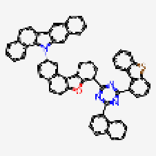 c1ccc2cc3c(cc2c1)c1ccc2ccccc2c1n3-c1ccc2ccc3oc4c(-c5nc(-c6cccc7ccccc67)nc(-c6cccc7sc8ccccc8c67)n5)cccc4c3c2c1